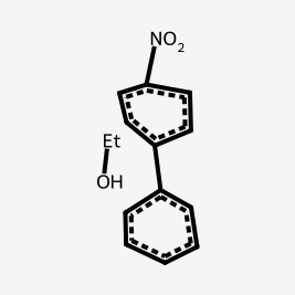 CCO.O=[N+]([O-])c1ccc(-c2ccccc2)cc1